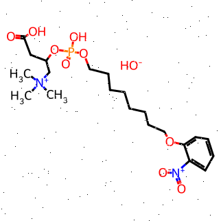 C[N+](C)(C)CC(CC(=O)O)OP(=O)(O)OCCCCCCCCOc1ccccc1[N+](=O)[O-].[OH-]